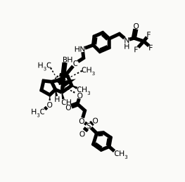 B=C1[C@H](C)[C@@]23CC[C@@H](C)[C@](C)([C@@H]2[C@H](OC)CC3)[C@H](OC(=O)COS(=O)(=O)c2ccc(C)cc2)C[C@]1(C)CCNc1ccc(CNC(=O)C(F)(F)F)cc1